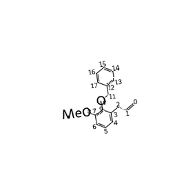 C=CCc1cccc(OC)c1OCc1ccccc1